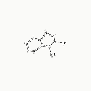 Nc1c(O)cnc2ccccc12